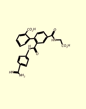 N=C(N)c1ccc(NC(=O)c2cc(C(=O)NCC(=O)O)ccc2-c2ccccc2C(=O)O)cc1